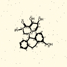 CC(C)N1CN(C2c3ccccc3CCc3c(CO)cccc32)N2C=CC(O)C(O)=C2C1=O